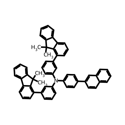 CC1(C)c2ccccc2-c2cccc(-c3cccc(N(c4ccc(-c5ccc6ccccc6c5)cc4)c4cccc(-c5cccc6c5C(C)(C)c5ccccc5-6)c4)c3)c21